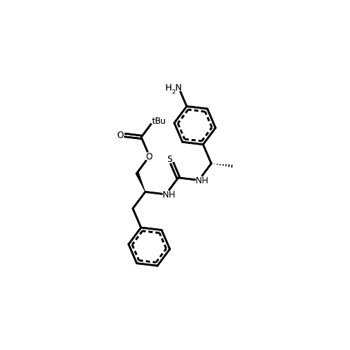 C[C@H](NC(=S)N[C@H](COC(=O)C(C)(C)C)Cc1ccccc1)c1ccc(N)cc1